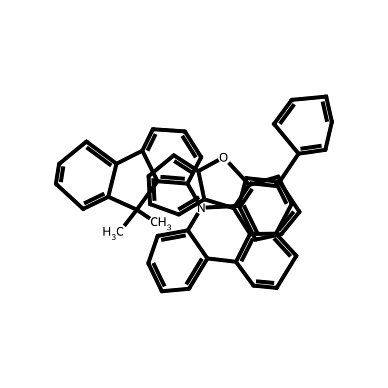 CC1(C)c2ccccc2-c2cccc(N(c3cccc(-c4ccccc4)c3)c3ccccc3-c3cccc4ccc5oc6ccccc6c5c34)c21